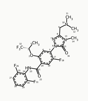 C[C@H](Oc1cc(-n2nc(CN(C)C)n(C)c2=O)c(F)cc1C(=O)Nc1c(F)cccc1F)C(F)(F)F